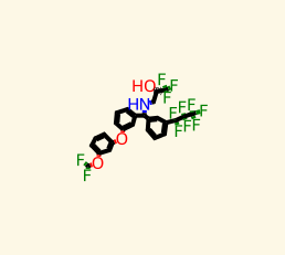 O[C@H](CNC(c1cccc(Oc2cccc(OC(F)F)c2)c1)c1cccc(C(F)(F)C(F)(F)C(F)(F)F)c1)C(F)(F)F